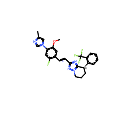 COc1cc(/C=C/c2nc3n(n2)CCC[C@@H]3c2ccccc2C(F)(F)F)c(F)cc1-n1cnc(C)c1